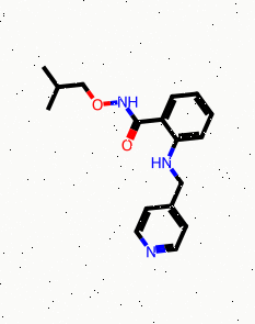 CC(C)CONC(=O)c1ccccc1NCc1ccncc1